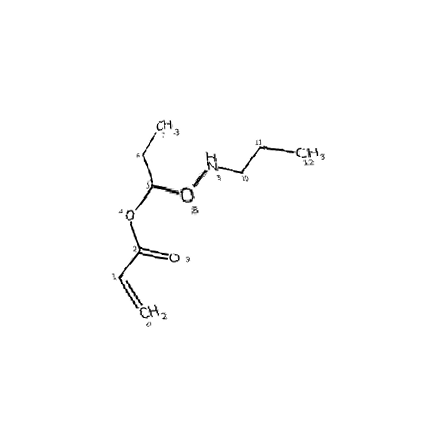 C=CC(=O)OC(CC)ONCCC